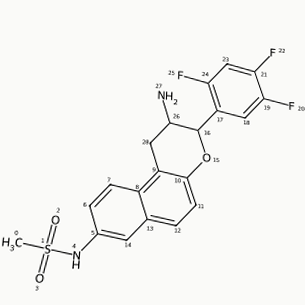 CS(=O)(=O)Nc1ccc2c3c(ccc2c1)OC(c1cc(F)c(F)cc1F)C(N)C3